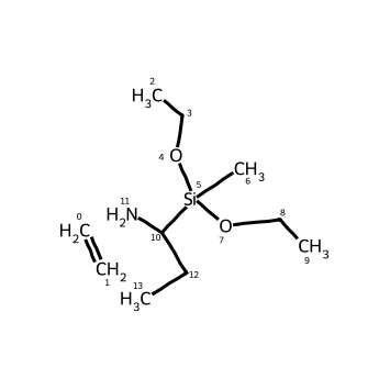 C=C.CCO[Si](C)(OCC)C(N)CC